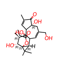 CCC(=O)O[C@@]12[C@H](O)[C@@H](C)[C@@]3(O)C(C=C(CO)C[C@]4(O)C(=O)C(C)=CC34)[C@@H]1C2(C)C